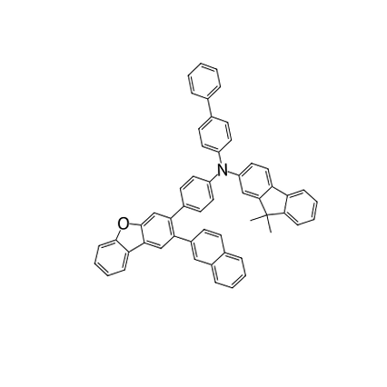 CC1(C)c2ccccc2-c2ccc(N(c3ccc(-c4ccccc4)cc3)c3ccc(-c4cc5oc6ccccc6c5cc4-c4ccc5ccccc5c4)cc3)cc21